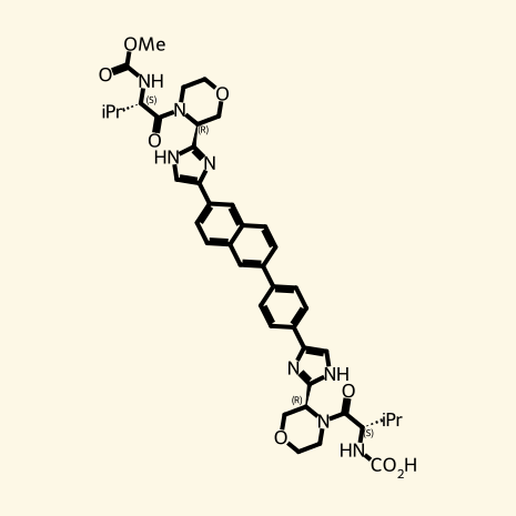 COC(=O)N[C@H](C(=O)N1CCOC[C@H]1c1nc(-c2ccc3cc(-c4ccc(-c5c[nH]c([C@@H]6COCCN6C(=O)[C@@H](NC(=O)O)C(C)C)n5)cc4)ccc3c2)c[nH]1)C(C)C